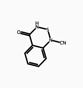 N#CN1SNC(=O)c2ccccc21